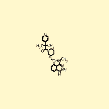 CNC1=NNNc2cccc(OC[C@H]3CCCN(C(=O)C(C)(C)c4ccncc4)C3)c21